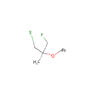 CC(C)OC(C)(CF)CF